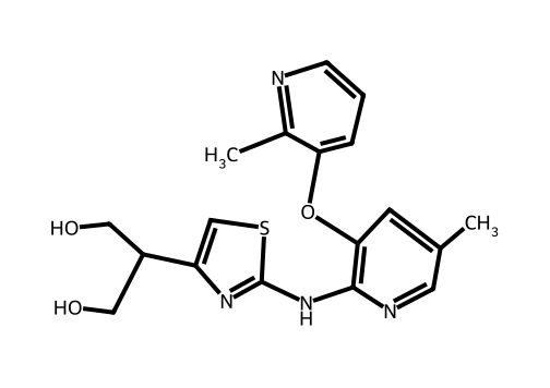 Cc1cnc(Nc2nc(C(CO)CO)cs2)c(Oc2cccnc2C)c1